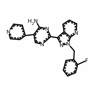 Nc1nc(-c2nn(Cc3ccccc3F)c3ncccc23)ncc1-c1ccncc1